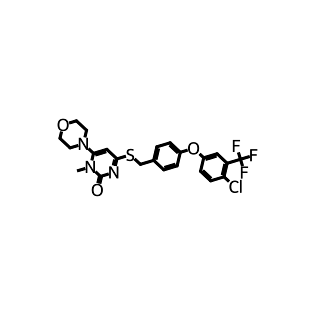 Cn1c(N2CCOCC2)cc(SCc2ccc(Oc3ccc(Cl)c(C(F)(F)F)c3)cc2)nc1=O